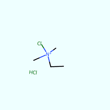 CC[N+](C)(C)Cl.Cl